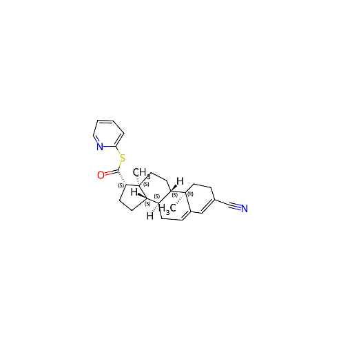 C[C@]12CC[C@H]3[C@@H](CC=C4C=C(C#N)CC[C@@]43C)[C@@H]1CC[C@@H]2C(=O)Sc1ccccn1